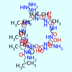 CC(C)C[C@@H](N)C(=O)N[C@@H](CC(C)C)C(=O)N[C@@H]1C(=O)N[C@@H]([C@H](O)C(C)C)C(=O)N[C@@H](CC(C)C)C(=O)N[C@H](CCCNC(=N)N)C(=O)N[C@@H](C(C)C)C(=O)N[C@@H]([C@H](C)O)C(=O)NCC(=O)N[C@@H]([C@H](O)C(N)=O)C(=O)N[C@@H](CO)C(=O)O[C@@H]1c1ccccc1